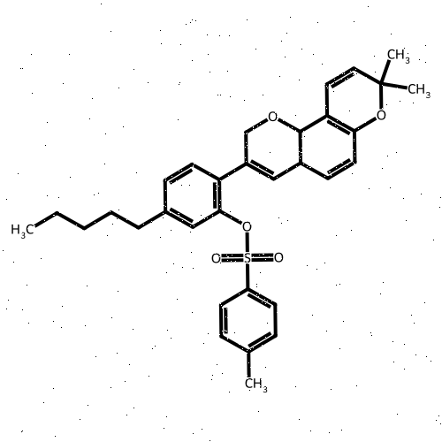 CCCCCc1ccc(C2=CC3C=CC4=C(C=CC(C)(C)O4)C3OC2)c(OS(=O)(=O)c2ccc(C)cc2)c1